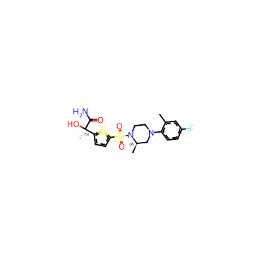 Cc1cc(F)ccc1N1CCN(S(=O)(=O)c2ccc([C@@](C)(O)C(N)=O)s2)[C@H](C)C1